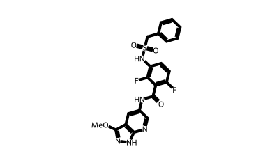 COc1n[nH]c2ncc(NC(=O)c3c(F)ccc(NS(=O)(=O)Cc4ccccc4)c3F)cc12